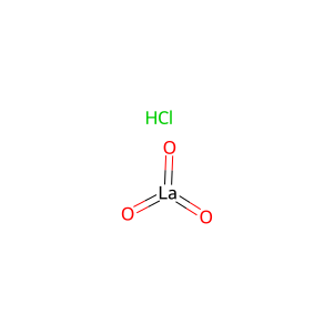 Cl.[O]=[La](=[O])=[O]